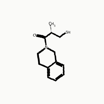 C[C@H](CS)C(=O)N1CCc2ccccc2C1